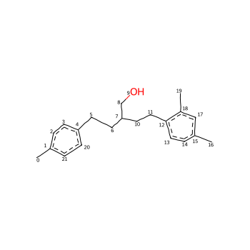 Cc1ccc(CCC(CO)CCc2ccc(C)cc2C)cc1